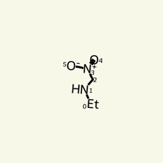 CCNC[N+](=O)[O-]